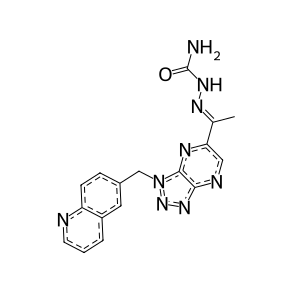 CC(=NNC(N)=O)c1cnc2nnn(Cc3ccc4ncccc4c3)c2n1